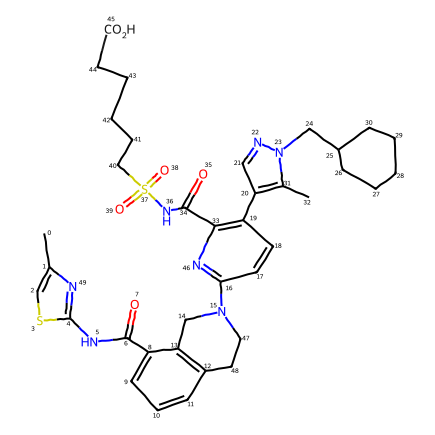 Cc1csc(NC(=O)c2cccc3c2CN(c2ccc(-c4cnn(CC5CCCCC5)c4C)c(C(=O)NS(=O)(=O)CCCCCC(=O)O)n2)CC3)n1